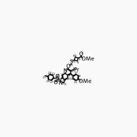 COC(=O)C1CC(SCOc2nc3cc4c(cnn4S(=O)(=O)c4ccc(C)cc4)cc3c(-c3ccc(OC)cc3)c2C(C)C)C1